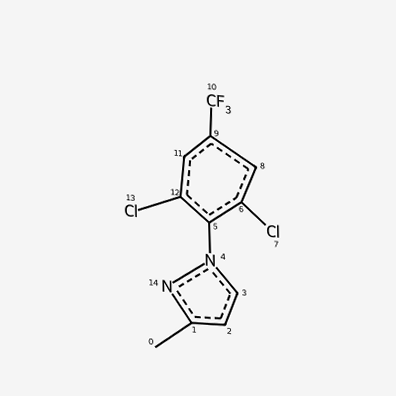 Cc1ccn(-c2c(Cl)cc(C(F)(F)F)cc2Cl)n1